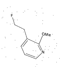 COc1ncccc1CCF